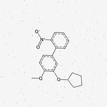 COc1ccc(-c2ccccc2[N+](=O)[O-])cc1OC1CCCC1